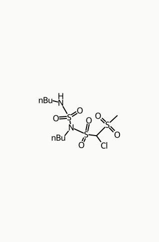 CCCCNS(=O)(=O)N(CCCC)S(=O)(=O)C(Cl)S(C)(=O)=O